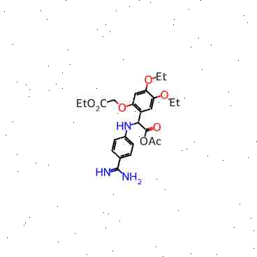 CCOC(=O)COc1cc(OCC)c(OCC)cc1C(Nc1ccc(C(=N)N)cc1)C(=O)OC(C)=O